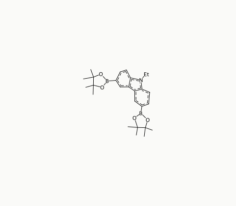 CCn1c2ccc(B3OC(C)(C)C(C)(C)O3)cc2c2cc(B3OC(C)(C)C(C)(C)O3)ccc21